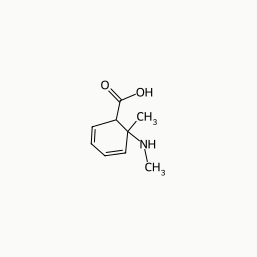 CNC1(C)C=CC=CC1C(=O)O